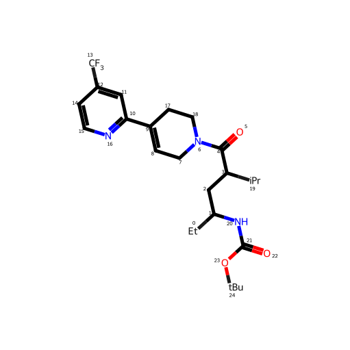 CCC(CC(C(=O)N1CC=C(c2cc(C(F)(F)F)ccn2)CC1)C(C)C)NC(=O)OC(C)(C)C